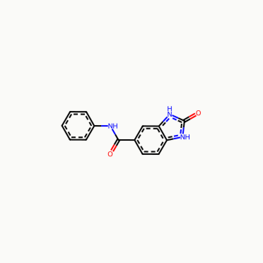 O=C(Nc1ccccc1)c1ccc2[nH]c(=O)[nH]c2c1